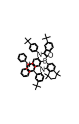 CC(C)(C)c1ccc(N2c3cc(N(c4ccccc4)c4ccccc4)cc4c3B(c3ccc5c(c3N4c3ccc(C(C)(C)C)cc3-c3ccccc3)C(C)(C)CCC5(C)C)c3oc4ccc(C(C)(C)C)cc4c32)cc1